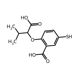 CC(C)C(Oc1ccc(S)cc1C(=O)O)C(=O)O